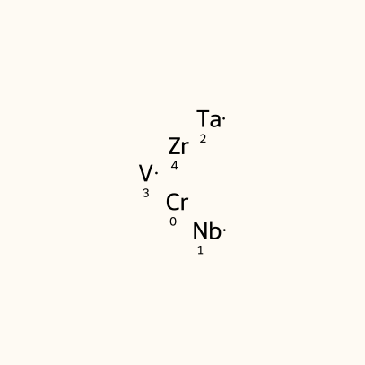 [Cr].[Nb].[Ta].[V].[Zr]